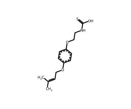 CC(C)=CCOc1ccc(OCCNC(O)=S)cc1